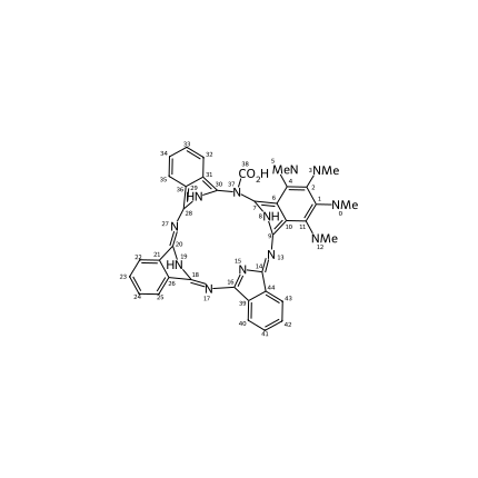 CNc1c(NC)c(NC)c2c3[nH]c(c2c1NC)N=C1N=C(N=c2[nH]/c(c4ccccc24)=N\c2[nH]c(c4ccccc24)N3C(=O)O)c2ccccc21